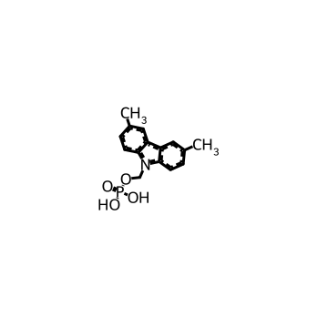 Cc1ccc2c(c1)c1cc(C)ccc1n2COP(=O)(O)O